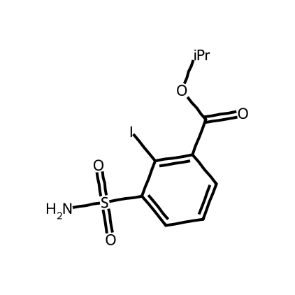 CC(C)OC(=O)c1cccc(S(N)(=O)=O)c1I